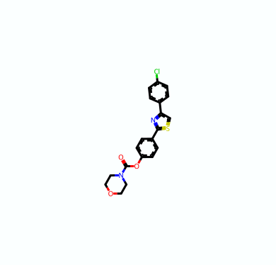 O=C(Oc1ccc(-c2nc(-c3ccc(Cl)cc3)cs2)cc1)N1CCOCC1